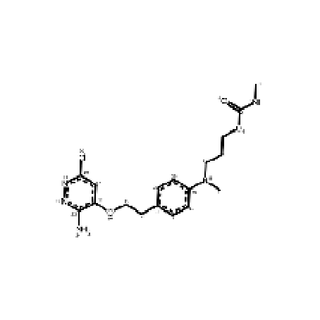 CNC(=O)OCCCN(C)c1ccc(CCOc2cc(Cl)nnc2N)cc1